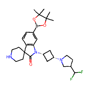 CC1(C)OB(c2ccc3c(c2)N([C@H]2C[C@@H](N4CCC(C(F)F)C4)C2)C(=O)C32CCNCC2)OC1(C)C